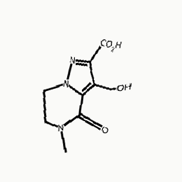 CN1CCn2nc(C(=O)O)c(O)c2C1=O